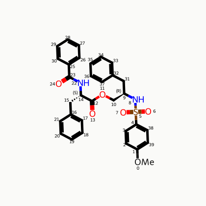 COc1ccc(S(=O)(=O)N[C@@H](COC(=O)[C@H](Cc2ccccc2)NC(=O)c2ccccc2)Cc2ccccc2)cc1